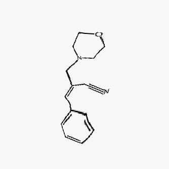 N#CC(=Cc1ccccc1)CN1CCOCC1